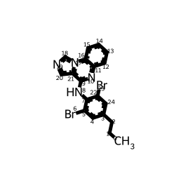 CCCc1cc(Br)c(Nc2nc3ccccc3n3cncc23)c(Br)c1